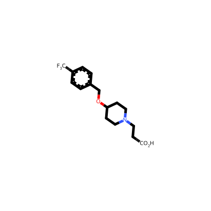 O=C(O)CCN1CCC(OCc2ccc(C(F)(F)F)cc2)CC1